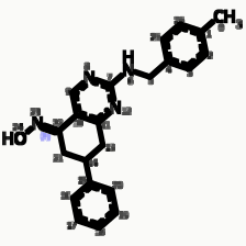 Cc1ccc(CNc2ncc3c(n2)CC(c2ccccc2)C/C3=N\O)cc1